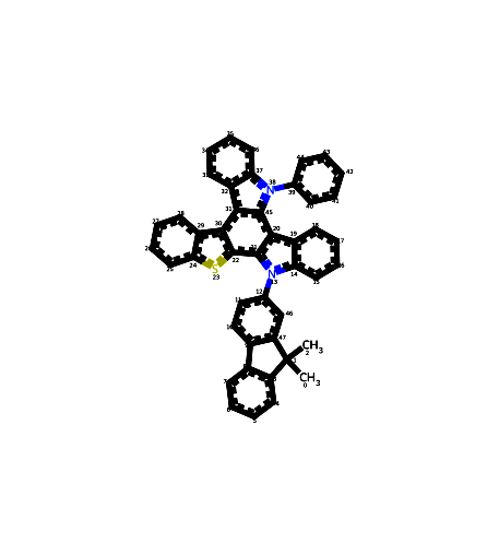 CC1(C)c2ccccc2-c2ccc(-n3c4ccccc4c4c3c3sc5ccccc5c3c3c5ccccc5n(-c5ccccc5)c34)cc21